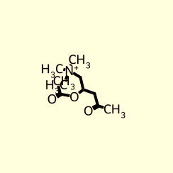 CC(=O)CC(C[N+](C)(C)C)OC(C)=O